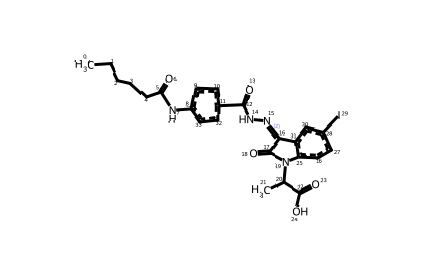 CCCCCC(=O)Nc1ccc(C(=O)N/N=C2\C(=O)N(C(C)C(=O)O)c3ccc(I)cc32)cc1